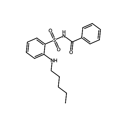 CCCCCNc1ccccc1S(=O)(=O)NC(=O)c1ccccc1